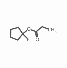 CCC(=O)OC1(F)CCCC1